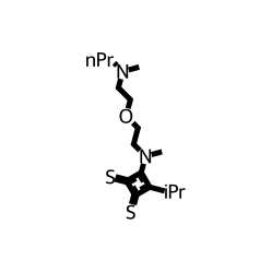 CCCN(C)CCOCCN(C)c1c(C(C)C)c(=S)c1=S